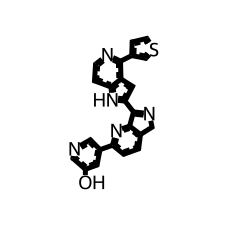 Oc1cncc(-c2ccc3c(n2)C(c2cc4c(-c5ccsc5)nccc4[nH]2)=NC3)c1